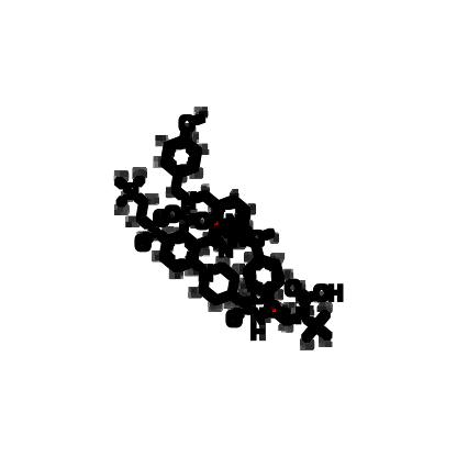 COc1ccc(CN(Cc2ccc(OC)cc2)S(=O)(=O)c2c(S(=O)(=O)CC[Si](C)(C)C)ccc(N3CCC(S(=O)(=O)NCCN(C(=O)O)C(C)(C)C)CC3)c2-c2nnn(Cc3ccc(OC)cc3)n2)cc1